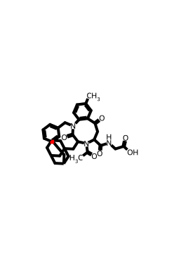 CC(=O)N1C(C(=O)NCC(=O)O)CC(=O)c2cc(C)ccc2N(Cc2ccccc2)C(=O)C1CC12CC3CC(CC(C3)C1)C2